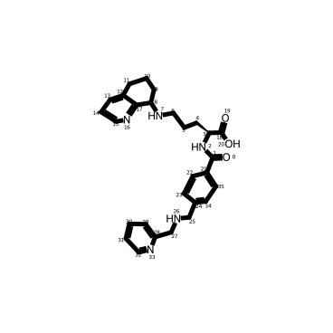 O=C(N[C@@H](CCCNC1CCCc2cccnc21)C(=O)O)c1ccc(CNCc2ccccn2)cc1